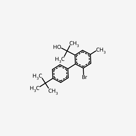 Cc1cc(Br)c(-c2ccc(C(C)(C)C)cc2)c(C(C)(C)O)c1